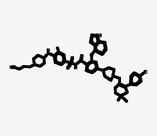 Cc1cc(S(=O)(=O)NC(=O)c2ccc(N3CCN(CC4=C(c5ccc(Cl)cc5)CC(C)(C)CC4)CC3)cc2Oc2cccc3[nH]ccc23)ccc1NC1CCN(CCCO)CC1